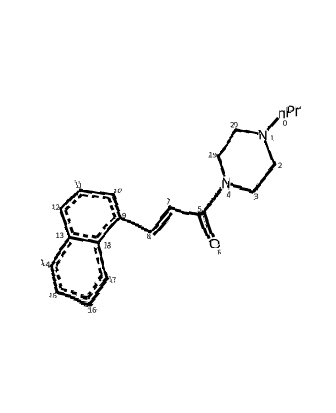 CCCN1CCN(C(=O)C=Cc2cccc3ccccc23)CC1